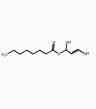 CCCCCCCC(=O)OC(O)C=CO